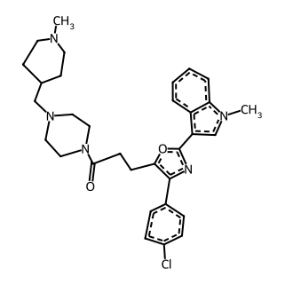 CN1CCC(CN2CCN(C(=O)CCc3oc(-c4cn(C)c5ccccc45)nc3-c3ccc(Cl)cc3)CC2)CC1